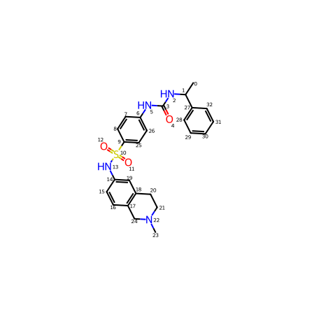 CC(NC(=O)Nc1ccc(S(=O)(=O)Nc2ccc3c(c2)CCN(C)C3)cc1)c1ccccc1